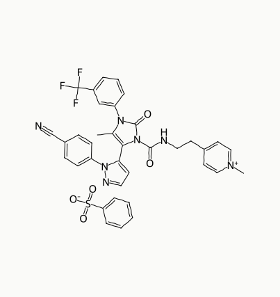 Cc1c(-c2ccnn2-c2ccc(C#N)cc2)n(C(=O)NCCc2cc[n+](C)cc2)c(=O)n1-c1cccc(C(F)(F)F)c1.O=S(=O)([O-])c1ccccc1